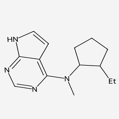 CCC1CCCC1N(C)c1ncnc2[nH]ccc12